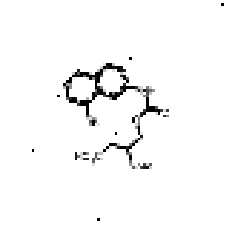 CNC(COC(=O)Nc1cc2c(C(C)(C)C)cccc2cn1)CC(=O)O